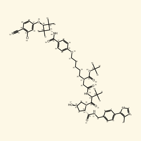 Cc1ncsc1-c1ccc(CNC(=O)[C@@H]2C[C@@H](O)CN2C(=O)C(NC(=O)CN(CCCCCOc2ccc(C(=O)N[C@H]3C(C)(C)[C@H](Oc4ccc(C#N)c(Cl)c4)C3(C)C)cc2)C(=O)OC(C)(C)C)C(C)(C)C)cc1